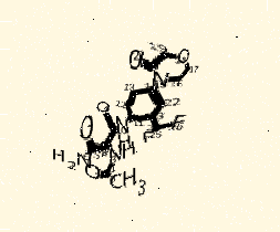 CC(=O)N[C@@H](C(N)=O)C(=O)Nc1ccc(N2CCOCC2=O)cc1C(F)F